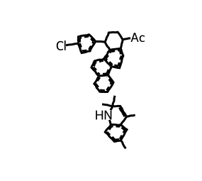 CC(=O)C1CCC(c2ccc(Cl)cc2)c2c1ccc1c2ccc2ccccc21.CC1=CC(C)(C)Nc2ccc(C)cc21